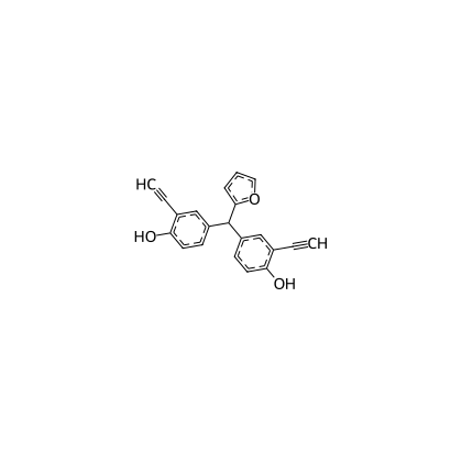 C#Cc1cc(C(c2ccc(O)c(C#C)c2)c2ccco2)ccc1O